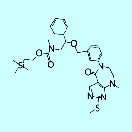 CSc1ncc2c(n1)N(C)CCN(c1cccc(COC(CN(C)C(=O)OCC[Si](C)(C)C)c3ccccc3)c1)C2=O